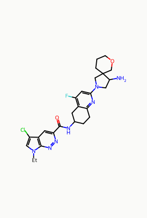 CCn1cc(Cl)c2cc(C(=O)NC3CCc4nc(N5CC(N)C6(CCCOC6)C5)cc(F)c4C3)nnc21